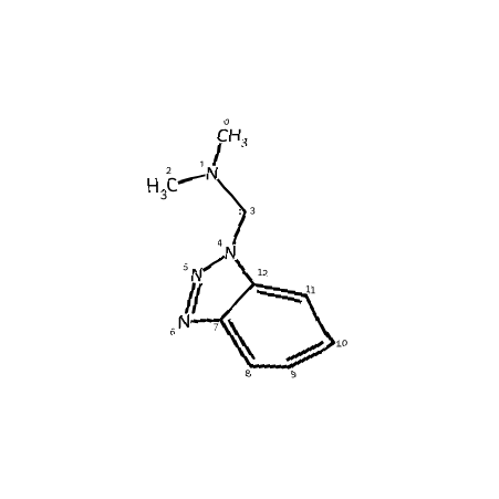 CN(C)[C]n1nnc2ccccc21